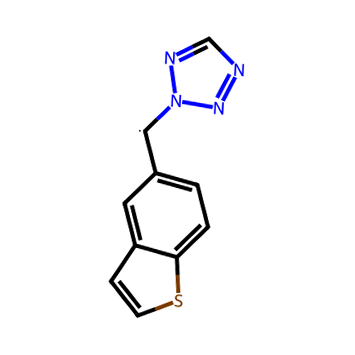 [CH](c1ccc2sccc2c1)n1ncnn1